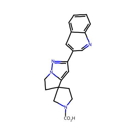 O=C(O)N1CCC2(CCn3nc(-c4cnc5ccccc5c4)cc32)C1